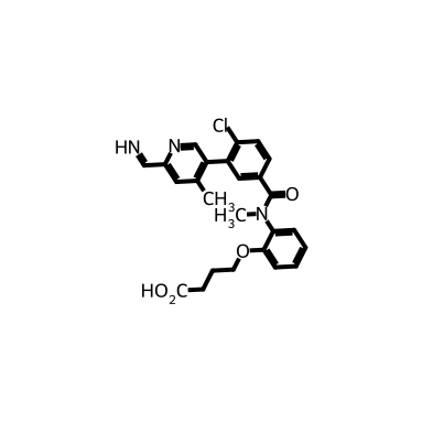 Cc1cc(C=N)ncc1-c1cc(C(=O)N(C)c2ccccc2OCCCC(=O)O)ccc1Cl